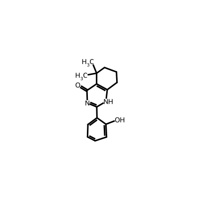 CC1(C)CCCc2[nH]c(-c3ccccc3O)nc(=O)c21